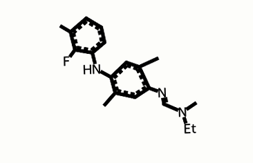 CCN(C)/C=N/c1cc(C)c(Nc2cccc(C)c2F)cc1C